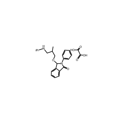 CC(CNC(C)C)COC1c2ccccc2C(=O)N1c1ccccc1.O=C(O)C(=O)O